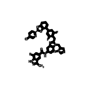 CCn1cncc1Cn1c(Cc2c(F)cc(-c3cccc4c3O[C@H](c3ccc(Cl)cn3)O4)cc2F)nc2cc(NC(=O)c3cc(F)c4[nH]nc(C)c4c3)ccc21